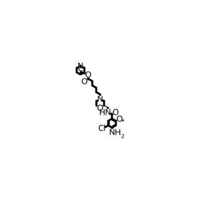 COc1cc(N)c(Cl)cc1C(=O)NC[C@@H]1CN(CCCCCC(=O)OC2CN3CCC2CC3)CCO1